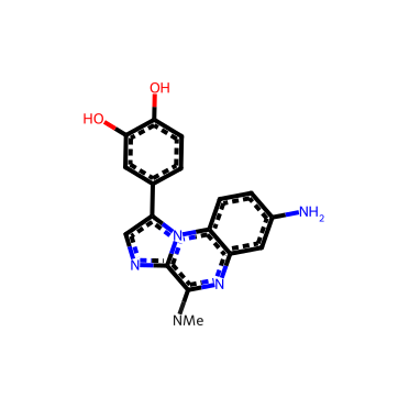 CNc1nc2cc(N)ccc2n2c(-c3ccc(O)c(O)c3)cnc12